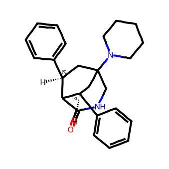 O=C1NCC2(N3CCCCC3)C[C@H](c3ccccc3)C1[C@H](c1ccccc1)C2